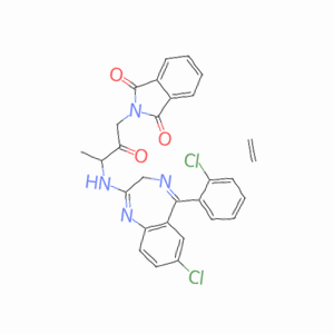 C=C.CC(NC1=Nc2ccc(Cl)cc2C(c2ccccc2Cl)=NC1)C(=O)CN1C(=O)c2ccccc2C1=O